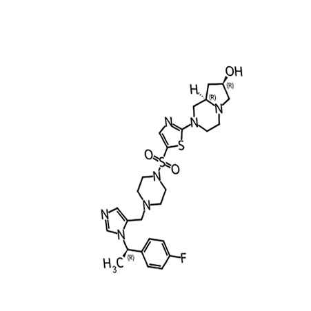 C[C@H](c1ccc(F)cc1)n1cncc1CN1CCN(S(=O)(=O)c2cnc(N3CCN4C[C@H](O)C[C@@H]4C3)s2)CC1